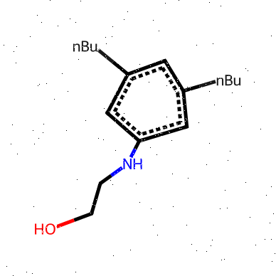 CCCCc1cc(CCCC)cc(NCCO)c1